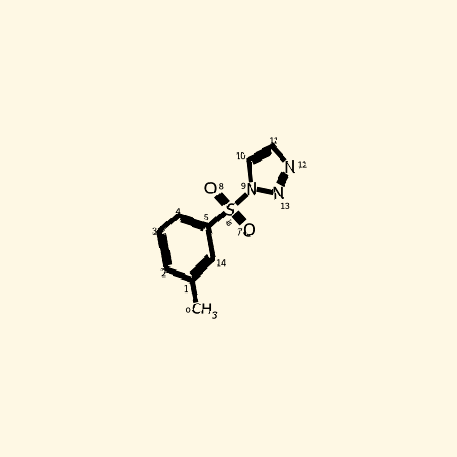 Cc1cccc(S(=O)(=O)n2ccnn2)c1